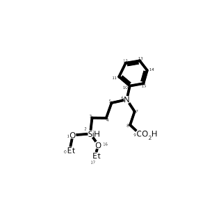 CCO[SiH](CCCN(CCC(=O)O)c1ccccc1)OCC